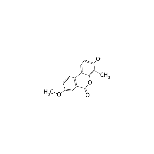 COc1ccc2c(c1)c(=O)oc1c(C)c([O])ccc12